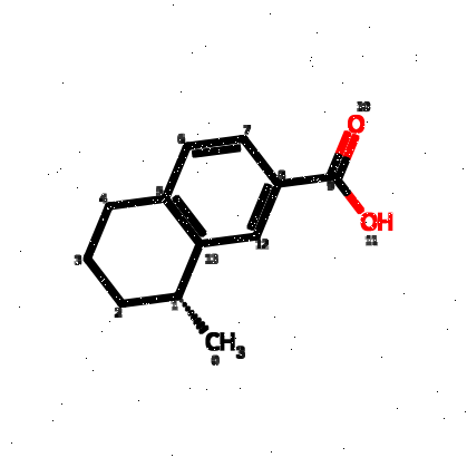 C[C@@H]1CCCc2ccc(C(=O)O)cc21